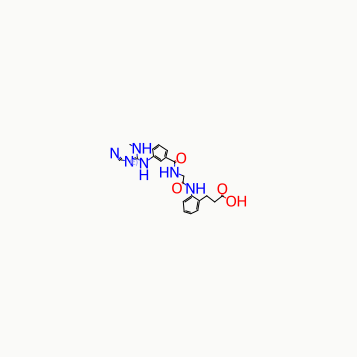 CN/C(=N\C#N)Nc1cccc(C(=O)NCC(=O)Nc2ccccc2CCC(=O)O)c1